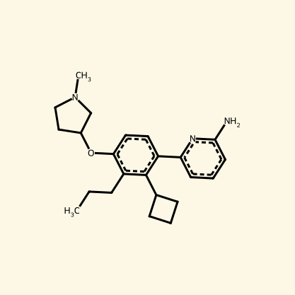 CCCc1c(OC2CCN(C)C2)ccc(-c2cccc(N)n2)c1C1CCC1